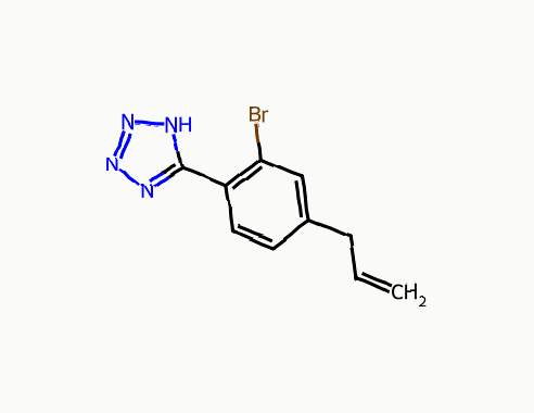 C=CCc1ccc(-c2nnn[nH]2)c(Br)c1